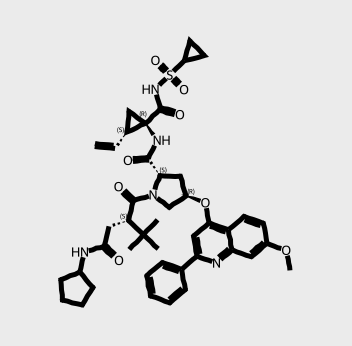 C=C[C@@H]1C[C@]1(NC(=O)[C@@H]1C[C@@H](Oc2cc(-c3ccccc3)nc3cc(OC)ccc23)CN1C(=O)[C@@H](CC(=O)NC1CCCC1)C(C)(C)C)C(=O)NS(=O)(=O)C1CC1